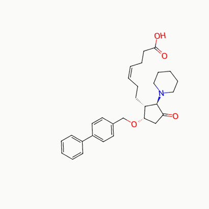 O=C(O)CC/C=C\CC[C@H]1[C@@H](OCc2ccc(-c3ccccc3)cc2)CC(=O)[C@@H]1N1CCCCC1